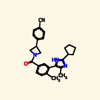 Cc1ccc(C(=O)N2CC(c3ccc(C#N)cc3)C2)cc1-c1[nH]c(C2CCCC2)nc1C